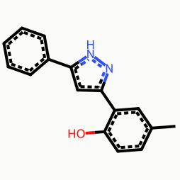 Cc1ccc(O)c(-c2cc(-c3ccccc3)[nH]n2)c1